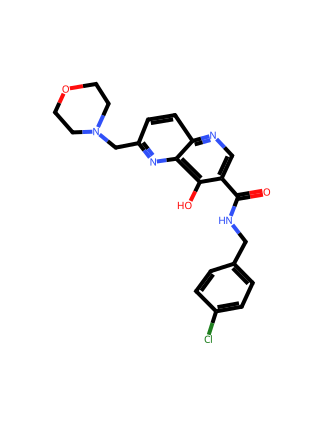 O=C(NCc1ccc(Cl)cc1)c1cnc2ccc(CN3CCOCC3)nc2c1O